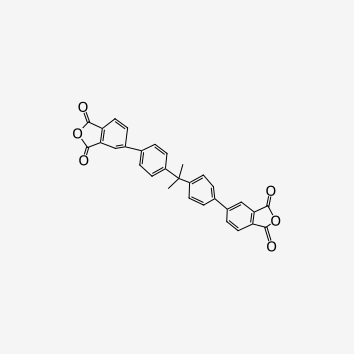 CC(C)(c1ccc(-c2ccc3c(c2)C(=O)OC3=O)cc1)c1ccc(-c2ccc3c(c2)C(=O)OC3=O)cc1